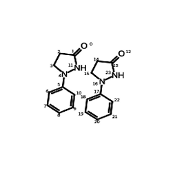 O=C1CCN(c2ccccc2)N1.O=C1CCN(c2ccccc2)N1